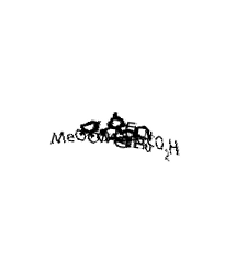 COc1cccc([C@H]2OCC(=O)[N@@+](CC(C)(C)C)(CC3(C(C)=O)CCCN(C(=O)O)C3)c3c(F)cc(C)cc32)c1OC